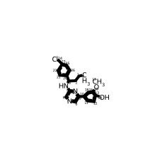 CCCC(Nc1cncc(-c2ccc(O)c(OC)c2)n1)c1ccc(Cl)cc1